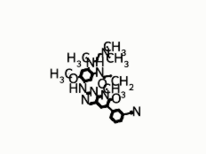 C=CC(=O)Nc1cc(Nc2ncc3cc(-c4cccc(C#N)c4)c(=O)n(C)c3n2)c(OC)cc1N(C)CCN(C)C